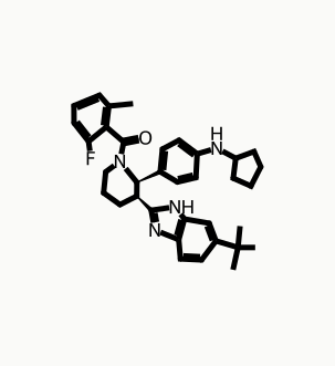 Cc1cccc(F)c1C(=O)N1CCC[C@H](c2nc3ccc(C(C)(C)C)cc3[nH]2)[C@@H]1c1ccc(NC2CCCC2)cc1